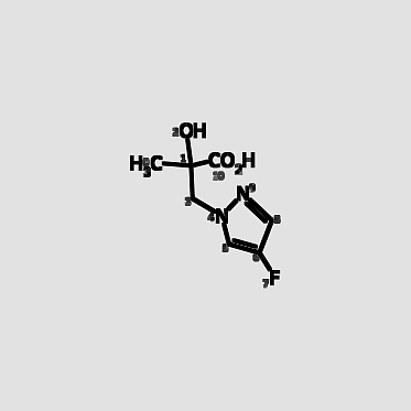 CC(O)(Cn1cc(F)cn1)C(=O)O